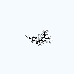 CCCC(OC(CCC)C(C)(C)C(CC)N1C(=O)CN(CC)C1=O)C(C)(C)C(=O)O